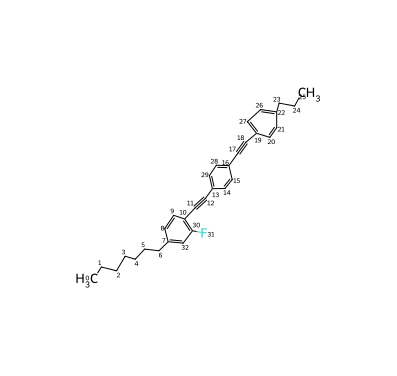 CCCCCCCc1ccc(C#Cc2ccc(C#Cc3ccc(CCC)cc3)cc2)c(F)c1